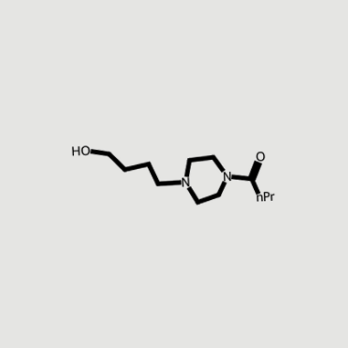 CCCC(=O)N1CCN(CCCCO)CC1